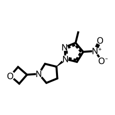 Cc1nn([C@H]2CCN(C3COC3)C2)cc1[N+](=O)[O-]